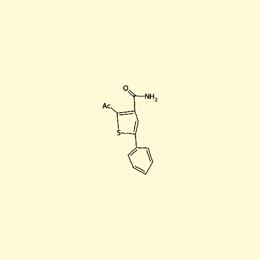 CC(=O)c1sc(-c2ccccc2)cc1C(N)=O